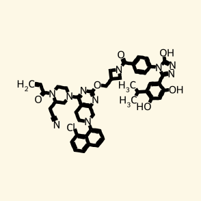 C=CC(=O)N1CCN(c2nc(OCC3CN(C(=O)c4ccc(-n5c(O)nnc5-c5cc(C(C)C)c(O)cc5O)cc4)C3)nc3c2CCN(c2cccc4cccc(Cl)c24)C3)CC1CC#N